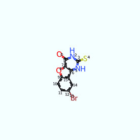 O=c1[nH]c(=S)[nH]c2c1oc1ccc(Br)cc12